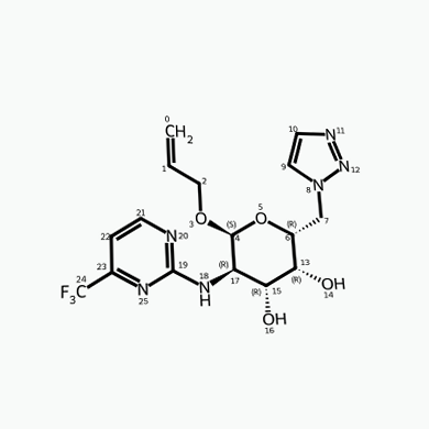 C=CCO[C@H]1O[C@H](Cn2ccnn2)[C@H](O)[C@H](O)[C@H]1Nc1nccc(C(F)(F)F)n1